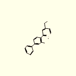 CCc1cc[n+](C)c(-c2ccc(-c3ccccc3)cc2C)c1